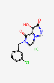 Cl.O=c1ncn2ccn(Cc3cccc(Cl)c3)c(=O)c2c1O